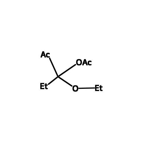 CCOC(CC)(OC(C)=O)C(C)=O